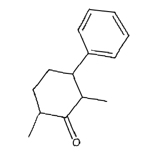 CC1CCC(c2ccccc2)C(C)C1=O